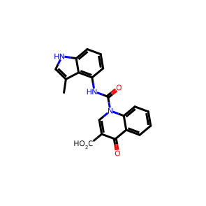 Cc1c[nH]c2cccc(NC(=O)n3cc(C(=O)O)c(=O)c4ccccc43)c12